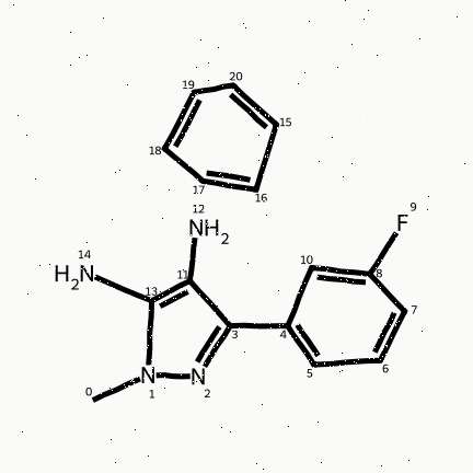 Cn1nc(-c2cccc(F)c2)c(N)c1N.c1ccccc1